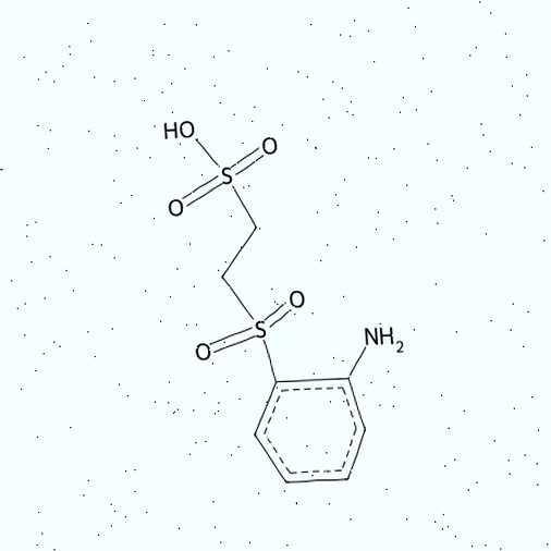 Nc1ccccc1S(=O)(=O)CCS(=O)(=O)O